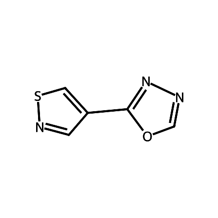 c1nnc(-c2cnsc2)o1